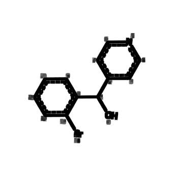 OC(c1ccncc1)c1ccccc1Br